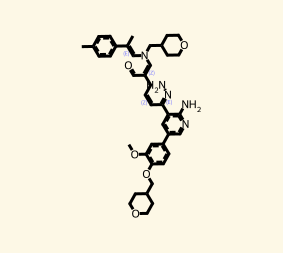 COc1cc(-c2cnc(N)c(C(/C=C\C/C(C=O)=C/N(/C=C(\C)c3ccc(C)cc3)CC3CCOCC3)=N/N)c2)ccc1OCC1CCOCC1